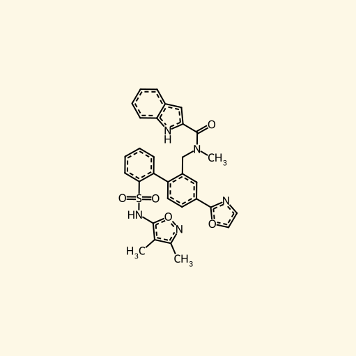 Cc1noc(NS(=O)(=O)c2ccccc2-c2ccc(-c3ncco3)cc2CN(C)C(=O)c2cc3ccccc3[nH]2)c1C